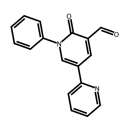 O=Cc1cc(-c2ccccn2)cn(-c2ccccc2)c1=O